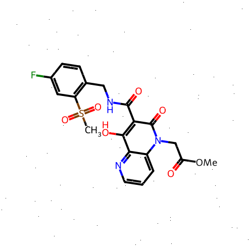 COC(=O)Cn1c(=O)c(C(=O)NCc2ccc(F)cc2S(C)(=O)=O)c(O)c2ncccc21